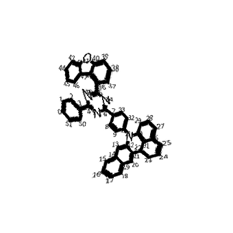 c1ccc(-c2nc(-c3ccc(N4c5cc6ccccc6cc5-c5cccc6cccc4c56)cc3)nc(-c3cccc4oc5ccccc5c34)n2)cc1